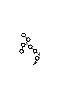 CN(c1ccc(N=O)cc1)c1ccc(-c2ccc(N(c3cccc(-c4ccccc4)c3)c3cccc(-c4ccccc4)c3)cc2)cc1